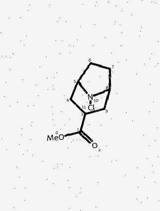 COC(=O)C1CC2CCC(C1)N2Cl